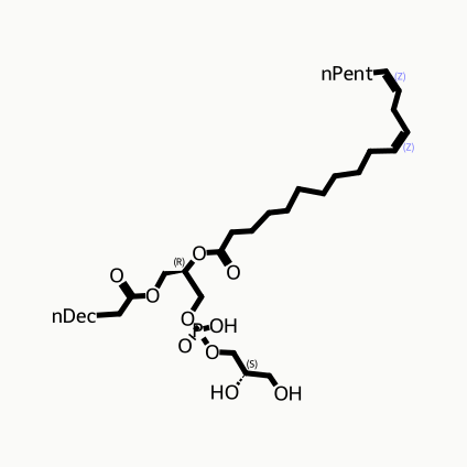 CCCCC/C=C\C/C=C\CCCCCCCCCC(=O)O[C@H](COC(=O)CCCCCCCCCCC)COP(=O)(O)OC[C@@H](O)CO